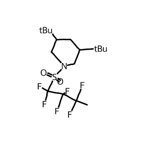 CC(C)(C)C1CC(C(C)(C)C)CN(S(=O)(=O)C(F)(F)C(F)(F)C(C)(F)F)C1